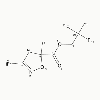 CC(C)C1=NOC(C)(C(=O)OCC(C)(F)F)C1